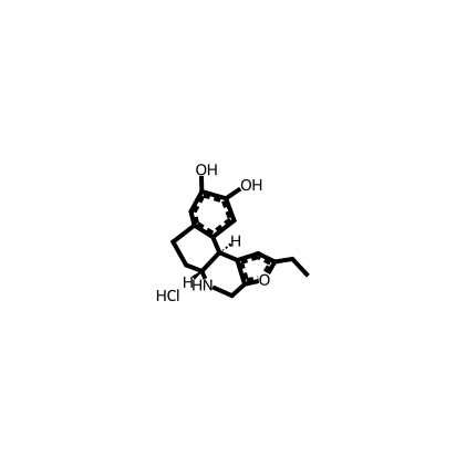 CCc1cc2c(o1)CN[C@@H]1CCc3cc(O)c(O)cc3[C@@H]21.Cl